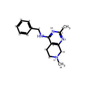 Cc1nc2c(c(NCc3ccccc3)n1)CCN(C)C2